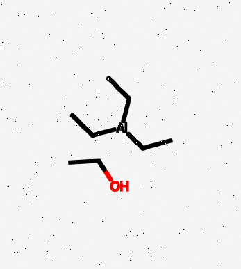 CCO.C[CH2][Al]([CH2]C)[CH2]C